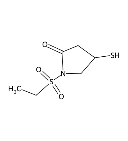 CCS(=O)(=O)N1CC(S)CC1=O